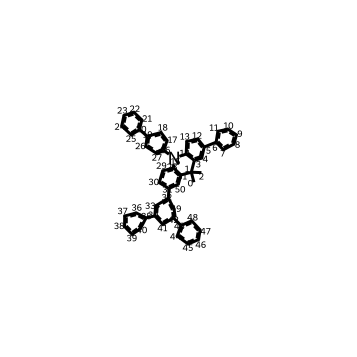 CC1(C)c2cc(-c3ccccc3)ccc2N(c2ccc(-c3ccccc3)cc2)c2ccc(-c3cc(-c4ccccc4)cc(-c4ccccc4)c3)cc21